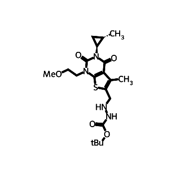 COCCn1c(=O)n([C@H]2C[C@@H]2C)c(=O)c2c(C)c(CNNC(=O)OC(C)(C)C)sc21